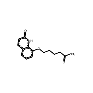 NC(=O)CCCCOc1cccc2ccc(=O)[nH]c12